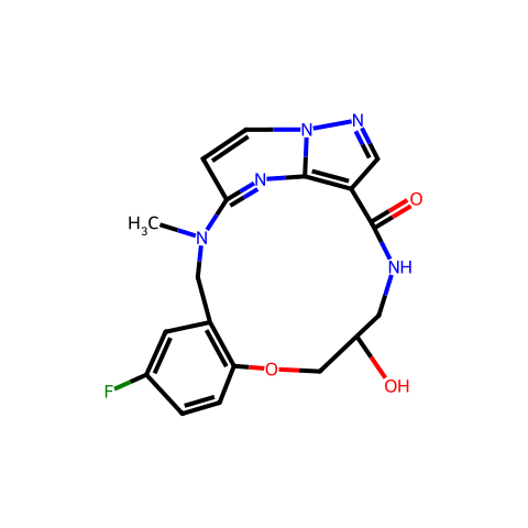 CN1Cc2cc(F)ccc2OCC(O)CNC(=O)c2cnn3ccc1nc23